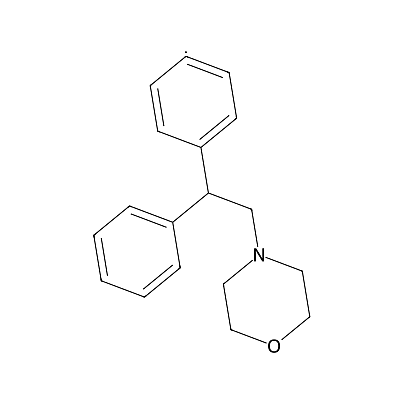 [c]1ccc(C(CN2CCOCC2)c2ccccc2)cc1